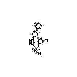 CS(=O)(=O)N1Cc2cc(Cl)ccc2-n2c(nnc2C2CCC(c3ncccc3F)CC2)C1